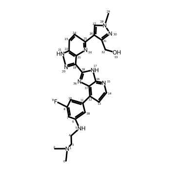 CN(C)CCNc1cc(F)cc(-c2ccnc3[nH]c(-c4n[nH]c5ccc(-c6cn(C)nc6CO)nc45)nc23)c1